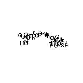 CCc1c2c(nc3ccc(OCCN4CCN(c5ccc(N(C(=N)c6cc(C(C)C)c(O)cc6O)C(N)=O)cc5)CC4)cc13)-c1cc(C(C)(O)CC)c(COC=O)c(=O)n1C2